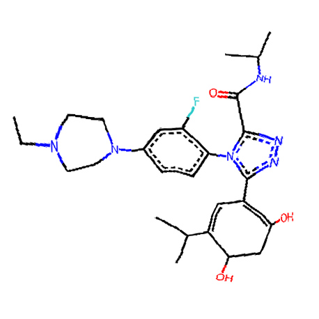 CCN1CCN(c2ccc(-n3c(C(=O)NC(C)C)nnc3C3=C(O)CC(O)C(C(C)C)=C3)c(F)c2)CC1